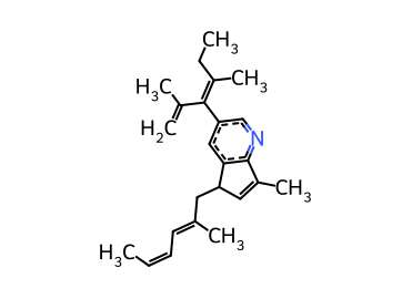 C=C(C)/C(=C(/C)CC)c1cnc2c(c1)C(C/C(C)=C/C=C\C)C=C2C